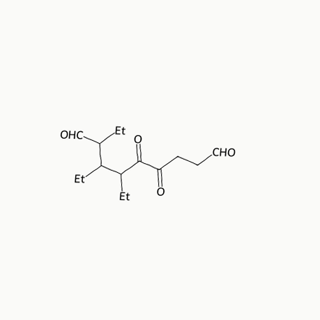 CCC(C=O)C(CC)C(CC)C(=O)C(=O)CCC=O